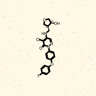 O=c1c(Cl)c(NC[C@H]2COC[C@H]2O)cnn1-c1ccc(Oc2ccc(F)cc2)cc1